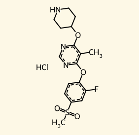 Cc1c(Oc2ccc(S(C)(=O)=O)cc2F)ncnc1OC1CCNCC1.Cl